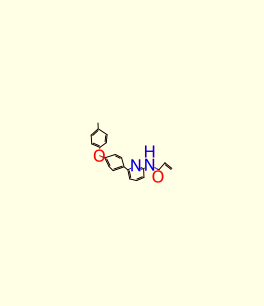 C=CC(=O)Nc1cccc(-c2ccc(Oc3ccc(C)cc3)cc2)n1